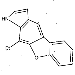 CCc1c2[nH]ccc2cc2c1oc1ccccc12